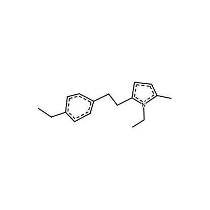 CCc1ccc(CCc2ccc(C)n2CC)cc1